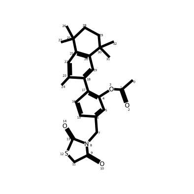 CC(=O)Oc1cc(CN2C(=O)CSC2=O)ccc1-c1cc2c(cc1C)C(C)(C)CCC2(C)C